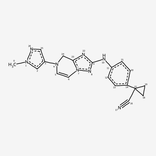 Cn1cc(N2C=Cn3nc(Nc4ccc(C5(C#N)CC5)cc4)nc3C2)cn1